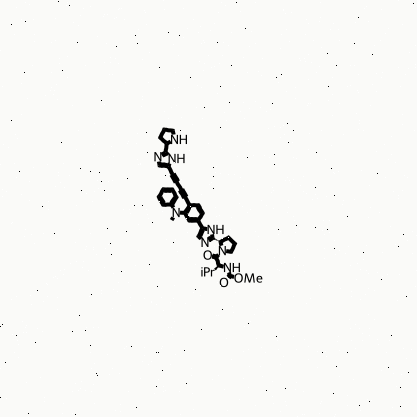 COC(=O)N[C@H](C(=O)N1CCC[C@H]1c1ncc(-c2ccc(C#CC#Cc3cnc(C4CCCN4)[nH]3)c(N(C)c3ccccc3)c2)[nH]1)C(C)C